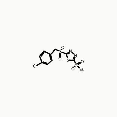 CCS(=O)(=O)c1nnc(S(=O)(=O)Cc2ccc(Cl)cc2)s1